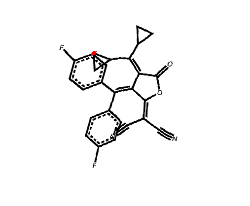 N#CC(C#N)=C1OC(=O)C(=C(C2CC2)C2CC2)C1=C(c1ccc(F)cc1)c1ccc(F)cc1